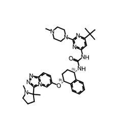 CN1CCN(c2nc(NC(=O)N[C@H]3CC[C@@H](Oc4ccc5nnc(C6(C)CCCN6C)n5c4)c4ccccc43)cc(C(C)(C)C)n2)CC1